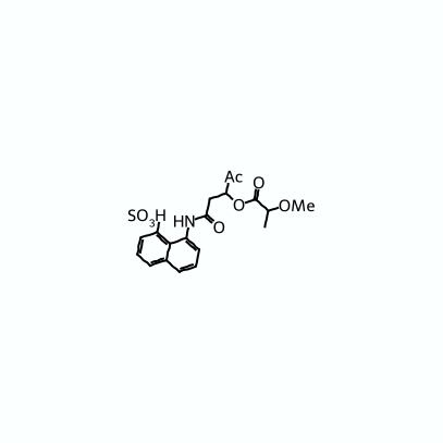 COC(C)C(=O)OC(CC(=O)Nc1cccc2cccc(S(=O)(=O)O)c12)C(C)=O